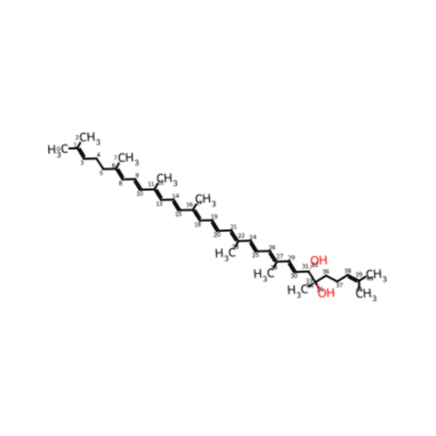 CC(C)=CCC/C(C)=C/C=C/C(C)=C/C=C/C(C)=C/C=C/C=C(C)/C=C/C=C(C)/C=C/[C@H](O)[C@@](C)(O)CCC=C(C)C